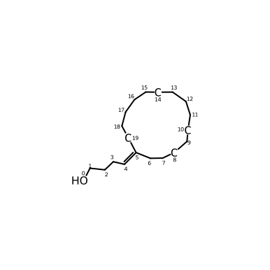 OCCCC=C1CCCCCCCCCCCCCC1